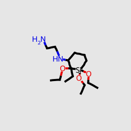 CCOC1(CC)C(NCCN)CCC[Si]1(OCC)OCC